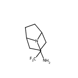 NC1CC2CCC(C1)N2CC(F)(F)F